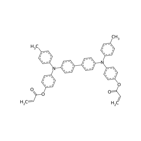 C=CC(=O)Oc1ccc(N(c2ccc(C)cc2)c2ccc(-c3ccc(N(c4ccc(C)cc4)c4ccc(OC(=O)C=C)cc4)cc3)cc2)cc1